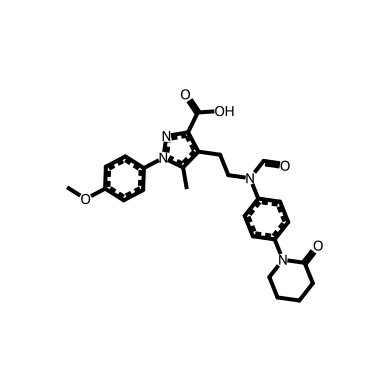 COc1ccc(-n2nc(C(=O)O)c(CCN(C=O)c3ccc(N4CCCCC4=O)cc3)c2C)cc1